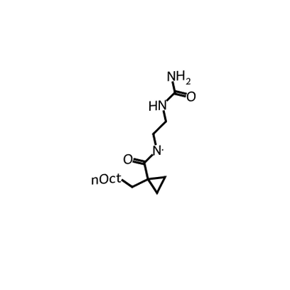 [CH2]CCCCCCCCC1(C(=O)[N]CCNC(N)=O)CC1